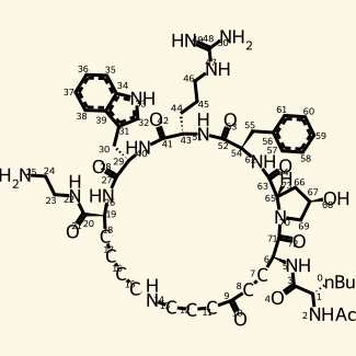 CCCC[C@H](NC(C)=O)C(=O)N[C@H]1CCC(=O)CCCNCCCC[C@@H](C(=O)NCCN)NC(=O)[C@H](Cc2c[nH]c3ccccc23)NC(=O)[C@H](CCCNC(=N)N)NC(=O)[C@@H](Cc2ccccc2)NC(=O)[C@@H]2C[C@@H](O)CN2C1=O